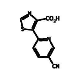 N#Cc1ccc(-c2scnc2C(=O)O)nc1